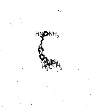 CC(C)(C)C(=O)Nc1cc2cc(N3CCN(CCCCc4c[nH]c5ccc(N)cc45)CC3)ccc2oc1=O